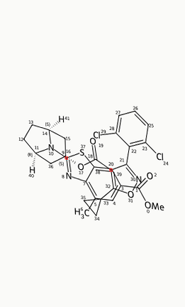 COC(=O)c1cc(C)c2nc(N3[C@@H]4CC[C@H]3C[C@H](OC(=O)c3c(-c5c(Cl)cccc5Cl)noc3C3CC3)C4)sc2c1